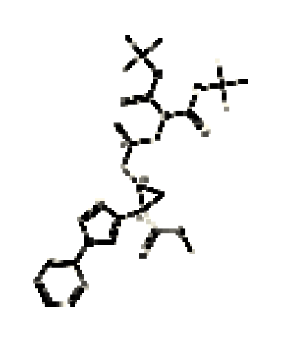 COC(=O)[C@@]1(c2cn(-c3ccccn3)cn2)C[C@H]1C[C@@H](C)CN(C(=O)OC(C)(C)C)C(=O)OC(C)(C)C